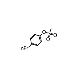 [CH2]CCc1ccc(OS(C)(=O)=O)cc1